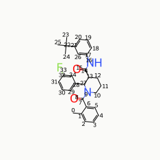 Cc1ccccc1C(=O)N1CCC[C@H](C(=O)Nc2cccc(C(C)(C)C)c2)C1c1cccc(F)c1